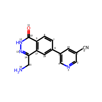 N#Cc1cncc(-c2ccc3c(=O)[nH]nc(CN)c3c2)c1